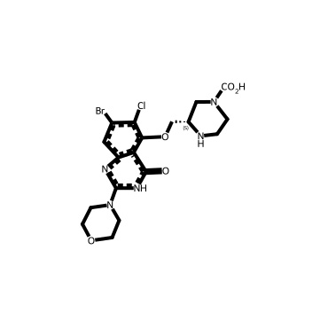 O=C(O)N1CCN[C@H](COc2c(Cl)c(Br)cc3nc(N4CCOCC4)[nH]c(=O)c23)C1